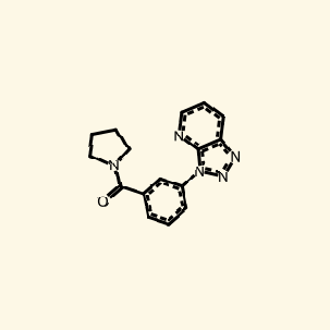 O=C(c1cccc(-n2nnc3cccnc32)c1)N1CCCC1